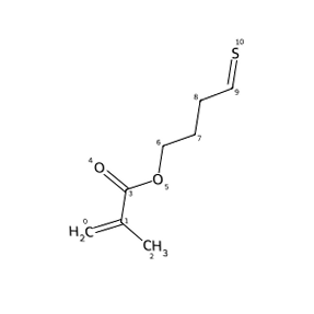 C=C(C)C(=O)OCCCC=S